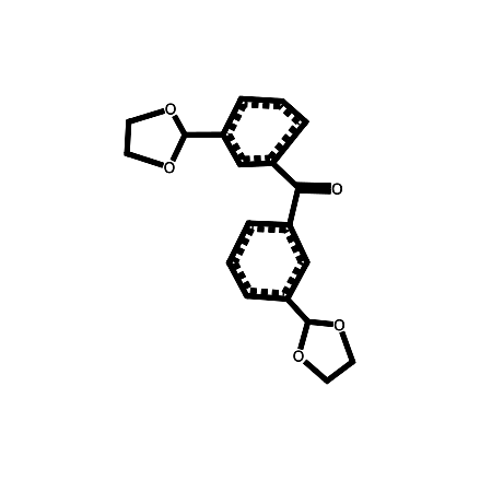 O=C(c1cccc(C2OCCO2)c1)c1cccc(C2OCCO2)c1